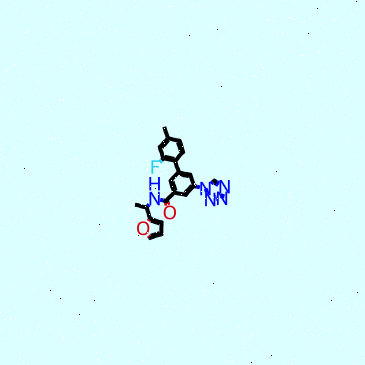 Cc1ccc(-c2cc(C(=O)NC(C)c3ccco3)cc(-n3cnnn3)c2)c(F)c1